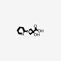 O=C(O)C1(O)CN(c2ccccn2)C1